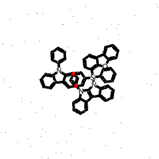 c1ccc(-n2c3ccccc3c3cc(-n4c5ccccc5c5c6ccccc6n([Si](c6ccccc6)(c6ccccc6)c6cccc7c6oc6ccccc67)c54)ccc32)cc1